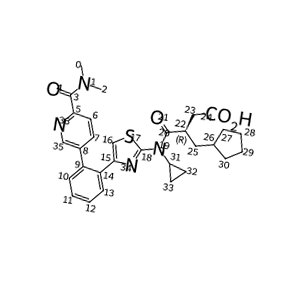 CN(C)C(=O)c1ccc(-c2ccccc2-c2csc(N(C(=O)[C@@H](CC(=O)O)CC3CCCC3)C3CC3)n2)cn1